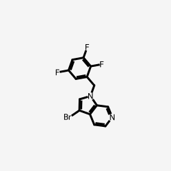 Fc1cc(F)c(F)c(Cn2cc(Br)c3ccncc32)c1